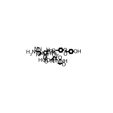 Nc1ncnc2c1ncn2[C@@H]1C[C@@H]2CO[P@](=O)(SCc3ccc(OC(=O)c4ccc(O)cc4)cc3)OC3[C@@H](F)[C@H](n4ccc(=O)[nH]c4=O)O[C@@H]3COP(=O)(O)O[C@@H]1[C@@H]2F